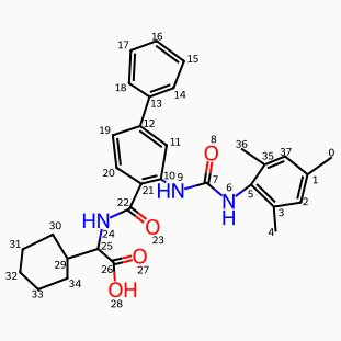 Cc1cc(C)c(NC(=O)Nc2cc(-c3ccccc3)ccc2C(=O)NC(C(=O)O)C2CCCCC2)c(C)c1